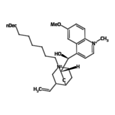 C=CC1C[N+]2(CCCCCCCCCCCCCCCC)CCC1C[C@H]2[C@@H](O)c1cc[n+](C)c2ccc(OC)cc12